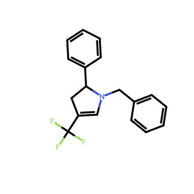 FC(F)(F)C1=CN(Cc2ccccc2)C(c2ccccc2)C1